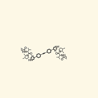 COC(=O)N[C@H](C(=O)N1[C@H](C)[C@H](C)C[C@H]1c1nc(-c2ccc(C#Cc3ccc(-c4c[nH]c([C@@H]5C[C@@H](C)[C@@H](C)N5C(=O)[C@@H](NC(=O)OC)C(C)C)n4)cc3)cc2)c[nH]1)C(C)C